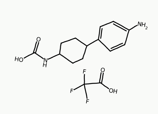 Nc1ccc(C2CCC(NC(=O)O)CC2)cc1.O=C(O)C(F)(F)F